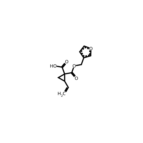 C=CC1CC1(C(=O)O)C(=O)OCc1ccoc1